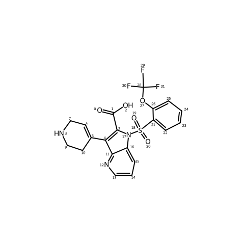 O=C(O)c1c(C2=CCNCC2)c2ncccc2n1S(=O)(=O)c1ccccc1OC(F)(F)F